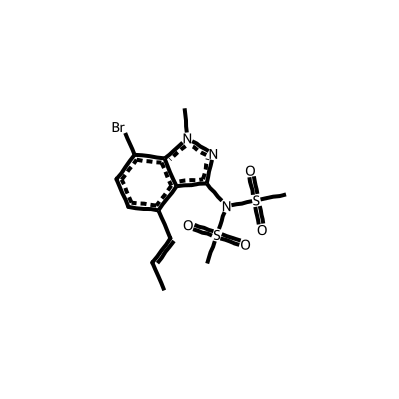 CC=Cc1ccc(Br)c2c1c(N(S(C)(=O)=O)S(C)(=O)=O)nn2C